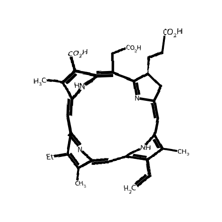 C=Cc1c(C)c2cc3nc(c(CC(=O)O)c4[nH]c(cc5nc(cc1[nH]2)C(C)=C5CC)c(C)c4C(=O)O)[C@@H](CCC(=O)O)C3